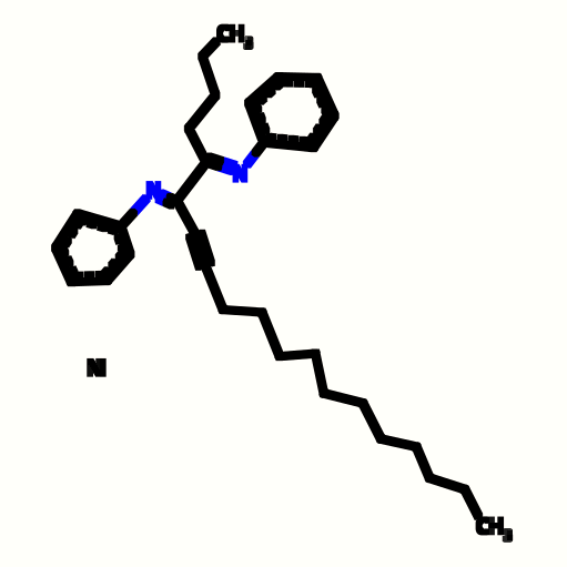 CCCCCCCCCCCC#CC(=N\c1ccccc1)/C(CCCC)=N/c1ccccc1.[Ni]